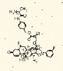 CCN(COCC(=O)[C@@]12O[C@H](c3cccc(F)c3)O[C@@H]1C[C@H]1[C@@H]3C[C@H](F)C4=CC(=O)C=C[C@]4(C)[C@@]3(F)[C@@H](O)C[C@@]12C)C(=O)OCc1ccc(NC(=O)[C@H](C)N)cc1